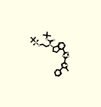 Cc1sc(-c2nc(-c3cccc4c3CC[C@H]4N(CCO[Si](C)(C)C(C)(C)C)C(=O)OC(C)(C)C)no2)cc1-c1ccccc1